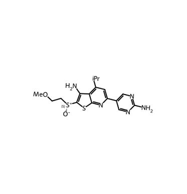 COCC[S@@+]([O-])c1sc2nc(-c3cnc(N)nc3)cc(C(C)C)c2c1N